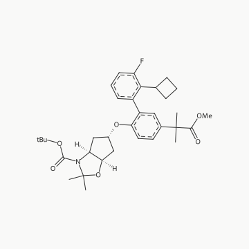 COC(=O)C(C)(C)c1ccc(O[C@@H]2C[C@H]3OC(C)(C)N(C(=O)OC(C)(C)C)[C@H]3C2)c(-c2cccc(F)c2C2CCC2)c1